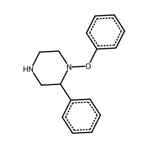 c1ccc(ON2CCNCC2c2ccccc2)cc1